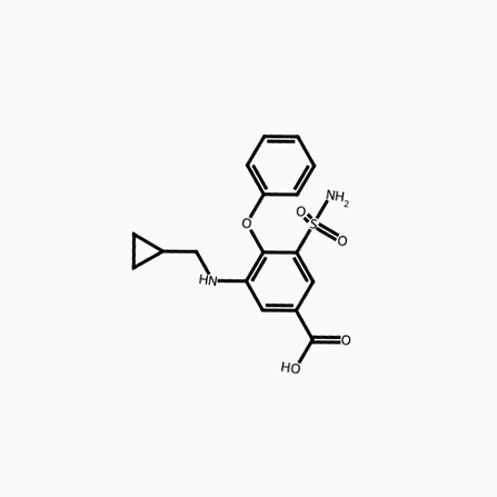 NS(=O)(=O)c1cc(C(=O)O)cc(NCC2CC2)c1Oc1ccccc1